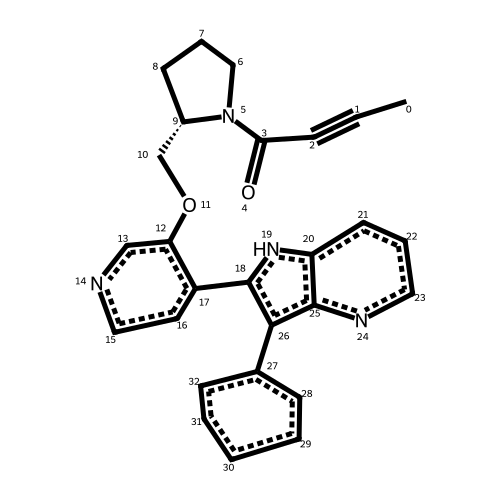 CC#CC(=O)N1CCC[C@H]1COc1cnccc1-c1[nH]c2cccnc2c1-c1ccccc1